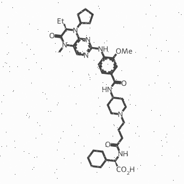 CC[C@@H]1C(=O)N(C)c2cnc(Nc3ccc(C(=O)NC4CCN(CCCC(=O)N[C@@H](C(=O)O)C5CCCCC5)CC4)cc3OC)nc2N1C1CCCC1